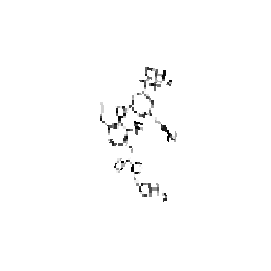 CCOC(=O)Cc1ccc(CI)c(Oc2cc(C#N)cc(C(C)(F)F)c2)c1F